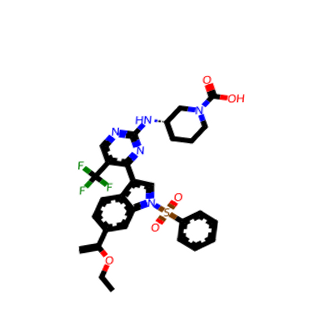 C=C(OCC)c1ccc2c(-c3nc(N[C@H]4CCCN(C(=O)O)C4)ncc3C(F)(F)F)cn(S(=O)(=O)c3ccccc3)c2c1